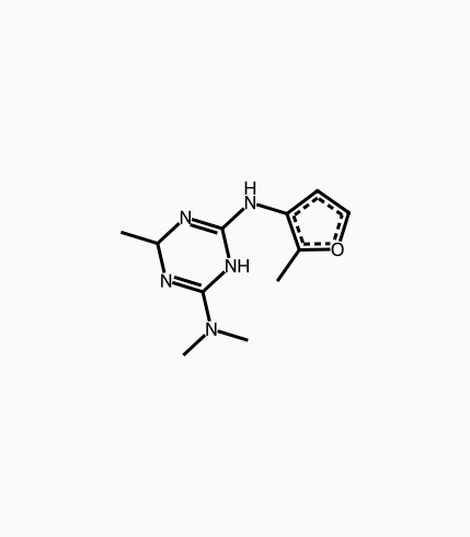 Cc1occc1NC1=NC(C)N=C(N(C)C)N1